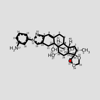 C[C@H]1C[C@H]2[C@@H]3CCC4=Cc5nn(-c6cccc(N)c6)cc5C[C@]4(C)[C@@]3(F)[C@@H](O)C[C@]2(C)[C@]12OCOC21COCO1